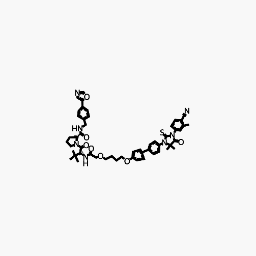 Cc1cc(N2C(=O)C(C)(C)N(c3ccc(-c4ccc(OCCCCOCC(=O)N[C@H](C(=O)N5CCC[C@H]5C(=O)NCc5ccc(-c6cnco6)cc5)C(C)(C)C)cc4)cc3)C2=S)ccc1C#N